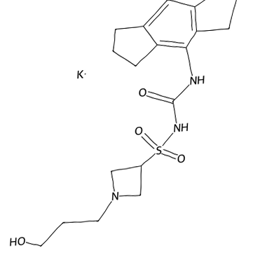 O=C(Nc1c2c(cc3c1CCC3)CCC2)NS(=O)(=O)C1CN(CCCO)C1.[K]